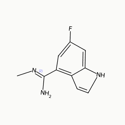 C/N=C(\N)c1cc(F)cc2[nH]ccc12